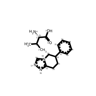 CC(C)[C@H](N)C(=O)O.c1ccc(C2CCc3nncn3C2)cc1